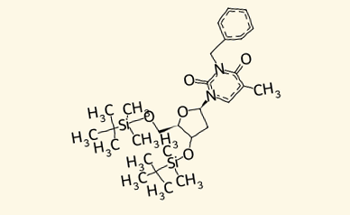 Cc1cn([C@H]2CC(O[Si](C)(C)C(C)(C)C)[C@@H](CO[Si](C)(C)C(C)(C)C)O2)c(=O)n(Cc2ccccc2)c1=O